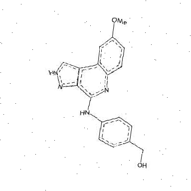 COc1ccc2nc(Nc3ccc(CO)cc3)c3n[nH]cc3c2c1